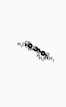 CC(C)Oc1cccc(Nc2cc3[nH]c(-c4ccc(C(=O)N(C)C)cc4)cc3cn2)c1